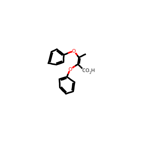 CC(Oc1ccccc1)=C(Oc1ccccc1)C(=O)O